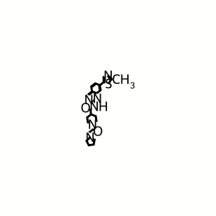 Cc1ncc(-c2ccc3cnc(NC(=O)C4CCN(C(=O)CN5CCCC5)CC4)nc3c2)s1